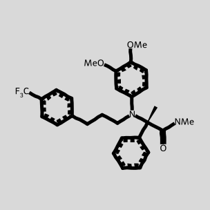 CNC(=O)[C@](C)(c1ccccc1)N(CCCc1ccc(C(F)(F)F)cc1)c1ccc(OC)c(OC)c1